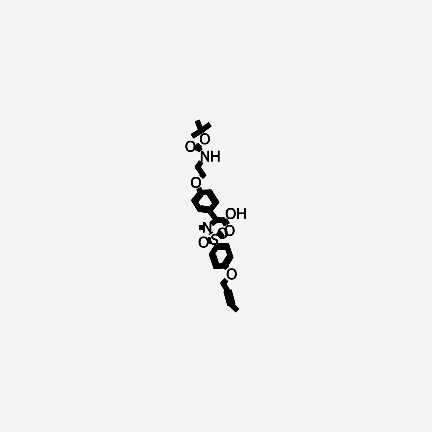 CC#CCOc1ccc(S(=O)(=O)N(C)C(C(=O)O)c2ccc(OCCNC(=O)OC(C)(C)C)cc2)cc1